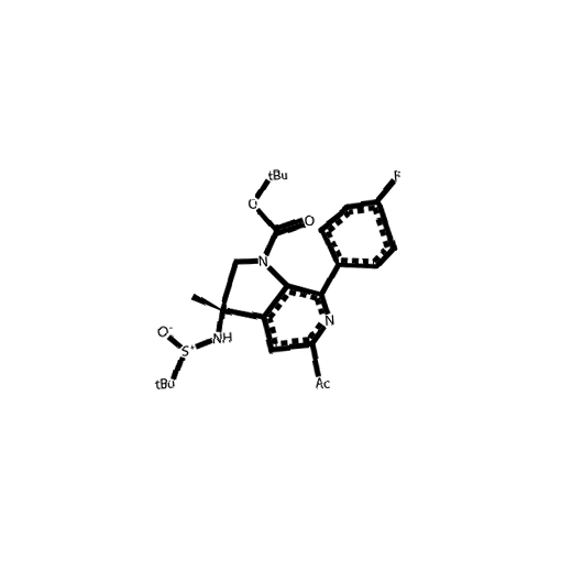 CC(=O)c1cc2c(c(-c3ccc(F)cc3)n1)N(C(=O)OC(C)(C)C)C[C@@]2(C)N[S+]([O-])C(C)(C)C